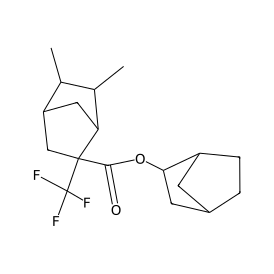 CC1C2CC(C1C)C(C(=O)OC1CC3CCC1C3)(C(F)(F)F)C2